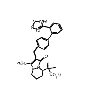 CCCCc1c(Cc2ccc(-c3ccccc3-c3nnn[nH]3)cc2)c(=O)n2n1CCCC2C(C)(C)C(=O)O